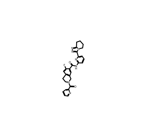 O=C(Nc1cccc(-c2nnc3n2CCCC3)n1)c1cc2c(cc1F)CCN(C(=O)c1ccccn1)C2